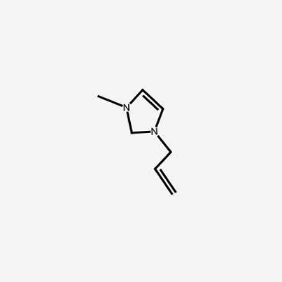 C=CCN1C=CN(C)C1